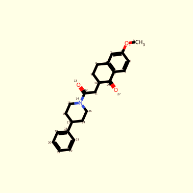 COc1ccc2c(c1)CCC(CC(=O)N1CCC(c3ccccc3)CC1)C2=O